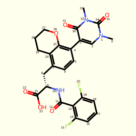 Cn1cc(-c2ccc(C[C@H](NC(=O)c3c(F)cccc3F)C(=O)O)c3c2OCCC3)c(=O)n(C)c1=O